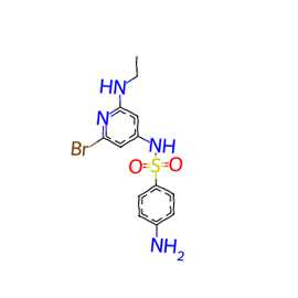 CCNc1cc(NS(=O)(=O)c2ccc(N)cc2)cc(Br)n1